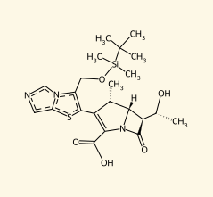 C[C@@H](O)[C@H]1C(=O)N2C(C(=O)O)=C(c3sc4cncn4c3CO[Si](C)(C)C(C)(C)C)[C@H](C)[C@H]12